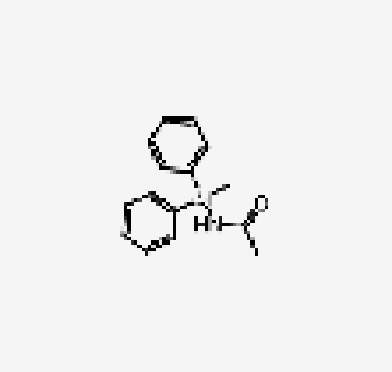 CC(=O)N[Si](C)(c1ccccc1)c1ccccc1